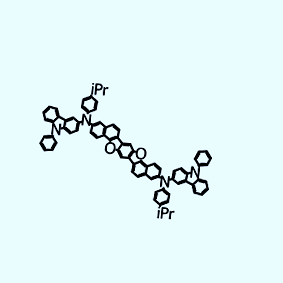 CC(C)c1ccc(N(c2ccc3c(ccc4c5cc6oc7c8ccc(N(c9ccc(C(C)C)cc9)c9ccc%10c(c9)c9ccccc9n%10-c9ccccc9)cc8ccc7c6cc5oc34)c2)c2ccc3c(c2)c2ccccc2n3-c2ccccc2)cc1